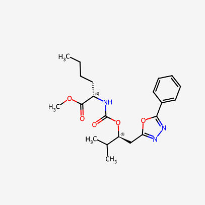 CCCC[C@H](NC(=O)O[C@@H](Cc1nnc(-c2ccccc2)o1)C(C)C)C(=O)OC